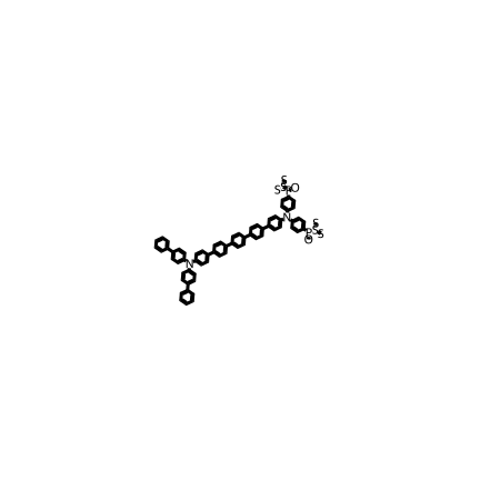 O=P(c1ccc(N(c2ccc(-c3ccc(-c4ccc(-c5ccc(-c6ccc(N(c7ccc(-c8ccccc8)cc7)c7ccc(-c8ccccc8)cc7)cc6)cc5)cc4)cc3)cc2)c2ccc(P(=O)=S(=S)=S)cc2)cc1)=S(=S)=S